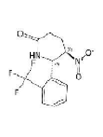 O=C1CC[C@@H]([N+](=O)[O-])[C@H](c2ccccc2C(F)(F)F)N1